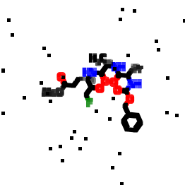 COC(=O)CC[C@H](NC(=O)[C@H](C)NC(=O)C(NC(=O)OCc1ccccc1)C(C)C)C(=O)CF